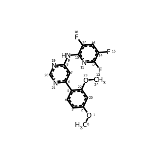 COc1ccc(-c2cc(Nc3nc(F)c(F)cc3F)ncn2)c(OC)c1